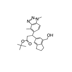 Cc1c(C(CC(=O)OC(C)(C)C)c2cc(CO)c3c(c2)CCC3)ccc2c1nnn2C